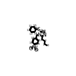 CCCCc1nnc(Sc2ccccc2)n1Cc1ccc([N+](=O)[O-])cc1